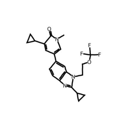 Cn1cc(-c2ccc3nc(C4CC4)n(CCOC(F)(F)F)c3c2)cc(C2CC2)c1=O